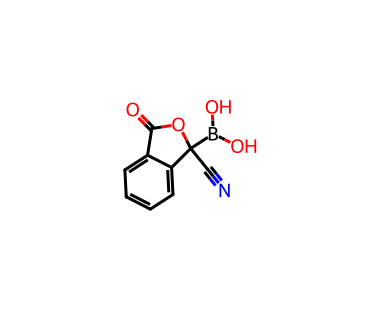 N#CC1(B(O)O)OC(=O)c2ccccc21